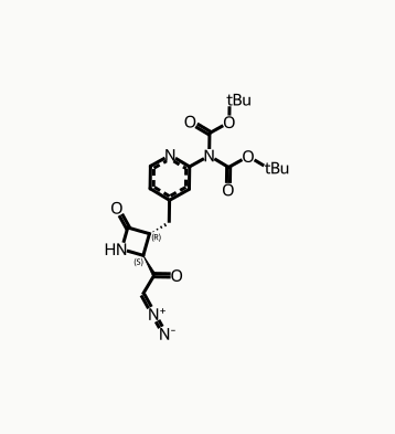 CC(C)(C)OC(=O)N(C(=O)OC(C)(C)C)c1cc(C[C@H]2C(=O)N[C@@H]2C(=O)C=[N+]=[N-])ccn1